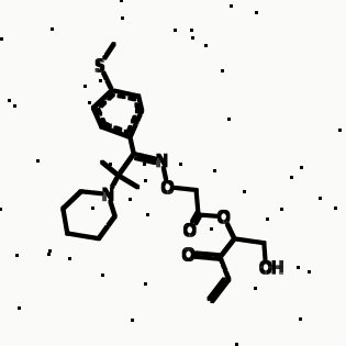 C=CC(=O)C(CO)OC(=O)CON=C(c1ccc(SC)cc1)C(C)(C)N1CCCCC1